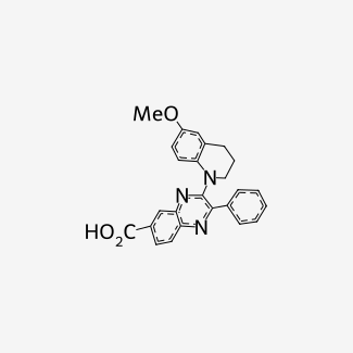 COc1ccc2c(c1)CCCN2c1nc2cc(C(=O)O)ccc2nc1-c1ccccc1